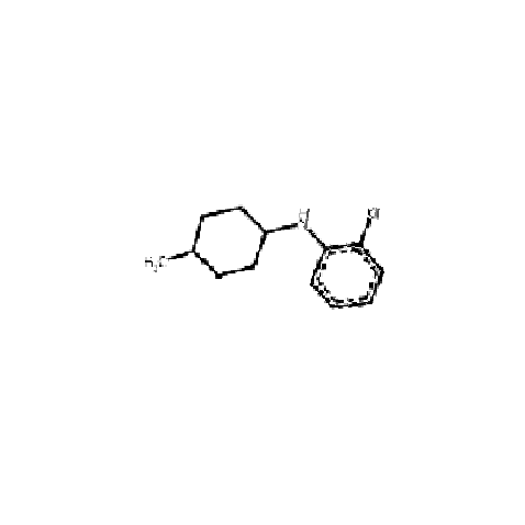 CC1CCC(Nc2ccccc2Cl)CC1